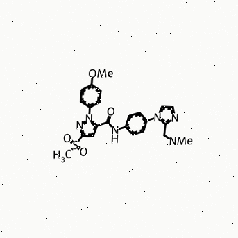 CNCc1nccn1-c1ccc(NC(=O)c2cc(S(C)(=O)=O)nn2-c2ccc(OC)cc2)cc1